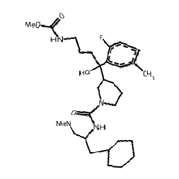 CNCC(CC1CCCCC1)NC(=O)N1CCCC(C(O)(CCCNC(=O)OC)c2cc(C)ccc2F)C1